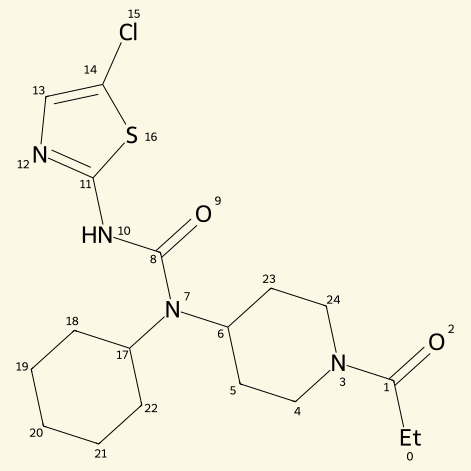 CCC(=O)N1CCC(N(C(=O)Nc2ncc(Cl)s2)C2CCCCC2)CC1